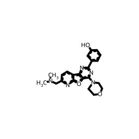 CN(C)Cc1ccc2c(n1)oc1c(N3CCOCC3)nc(-c3cccc(O)c3)nc12